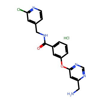 Cl.NCc1cc(Oc2cccc(C(=O)NCc3ccnc(Cl)c3)c2)ncn1